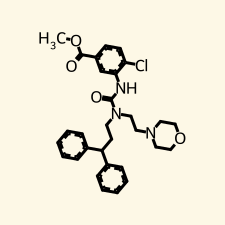 COC(=O)c1ccc(Cl)c(NC(=O)N(CCC(c2ccccc2)c2ccccc2)CCN2CCOCC2)c1